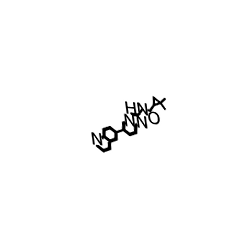 CC1(C)CC1C(=O)Nc1cn2cc(-c3ccc4ncccc4c3)ccc2n1